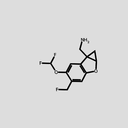 NCC12CC1Oc1cc(CF)c(OC(F)F)cc12